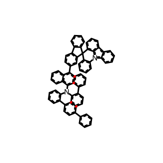 c1ccc(-c2ccc(-c3ccccc3N(c3ccccc3-c3ccccc3)c3ccc(-c4ccc5c(c4)C4(c6ccccc6-5)c5ccccc5-n5c6ccccc6c6cccc4c65)c4ccccc34)cc2)cc1